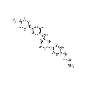 CN1CCN(c2ccc(Nc3nccc(-c4ccc(NCCN)nc4)n3)cc2)CC1